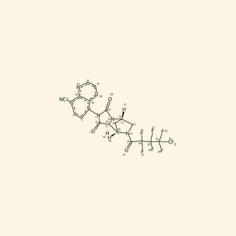 N#Cc1ccc(N2C(=O)[C@@H]3[C@@H]4C[C@@H](CN4C(=O)C(F)(F)C(F)(F)C(F)(F)C(F)(F)F)N3C2=O)c2cccnc12